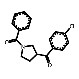 O=C(c1ccc(Cl)cc1)C1CCN(C(=O)c2ccccc2)C1